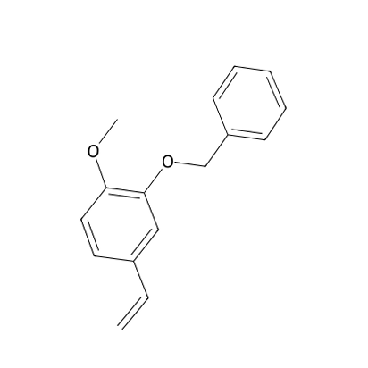 C=Cc1ccc(OC)c(OCc2ccccc2)c1